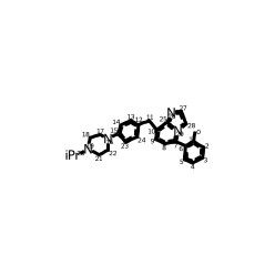 Cc1ccccc1-c1ccc(Cc2ccc(N3CCN(C(C)C)CC3)cc2)c2nccn12